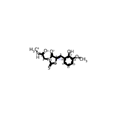 CNC(=O)CN1C(=O)/C(=C/c2cccc(OC)c2O)SC1=S